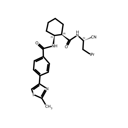 Cc1nc(-c2ccc(C(=O)N[C@H]3CCCC[C@H]3C(=O)N[C@H](C#N)CC(C)C)cc2)cs1